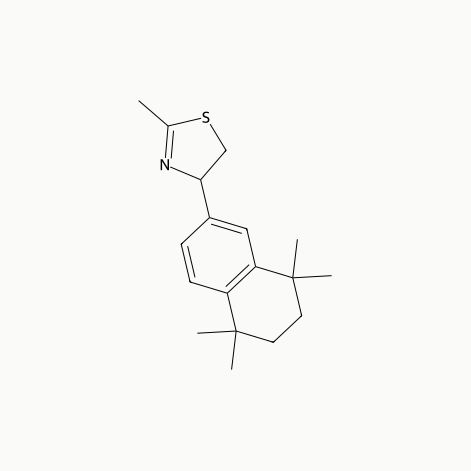 CC1=NC(c2ccc3c(c2)C(C)(C)CCC3(C)C)CS1